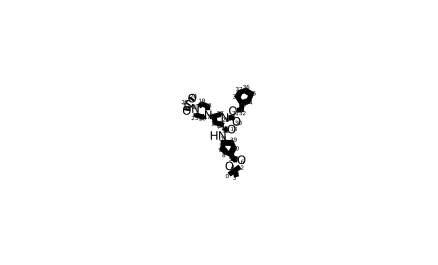 CC(C)(C)OC(=O)c1ccc(NC(=O)[C@@H]2C[C@H](N3CCN(S(C)(=O)=O)CC3)CN2C(=O)OCc2ccccc2)cc1